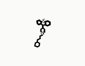 c1ccc2c(c1)Sc1ccccc1C2=C1CCN(CCCCC2CCCCC2)CC1